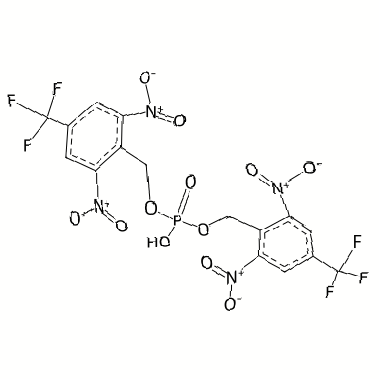 O=[N+]([O-])c1cc(C(F)(F)F)cc([N+](=O)[O-])c1COP(=O)(O)OCc1c([N+](=O)[O-])cc(C(F)(F)F)cc1[N+](=O)[O-]